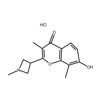 Cc1c(C2CN(C)C2)oc2c(C)c(O)ccc2c1=O.Cl